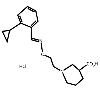 Cl.O=C(O)C1CCCN(CCON=Cc2ccccc2C2CC2)C1